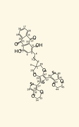 CC1(CSCc2cc(O)c3c(c2O)C(=O)c2ccccc2C3=O)COc2c(-c3scc4c3OCCO4)sc(-c3scc4c3OCCO4)c2OC1